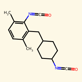 Cc1ccc(C)c(N=C=O)c1CC1CCC(N=C=O)CC1